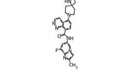 Cc1cn2cc(NC(=O)c3ccc(N4CCC5(CCN5)CC4)c4ccnnc34)cc(F)c2n1